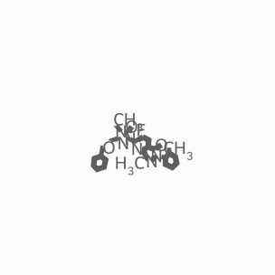 CCn1c(COCc2ccccc2)nn(-c2nc3c(C)nn(-c4ccccc4C)c(=O)c3cc2F)c1=O